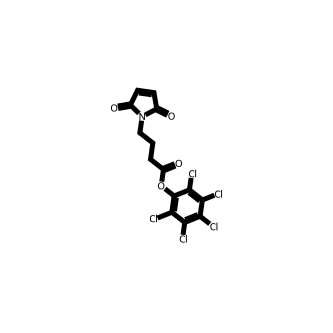 O=C(CCCN1C(=O)C=CC1=O)Oc1c(Cl)c(Cl)c(Cl)c(Cl)c1Cl